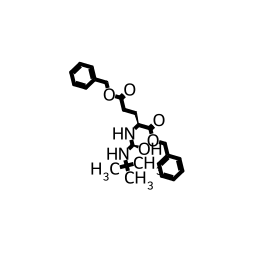 CC(C)(C)N[C@H](O)N[C@@H](CCC(=O)OCc1ccccc1)C(=O)OCc1ccccc1